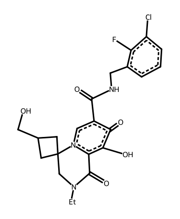 CCN1CC2(CC(CO)C2)n2cc(C(=O)NCc3cccc(Cl)c3F)c(=O)c(O)c2C1=O